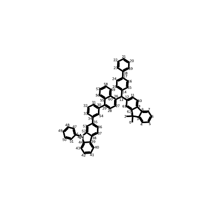 CC1(C)c2ccccc2-c2ccc(C(c3ccc(-c4ccccc4)cc3)c3ccc(-c4cccc(-c5ccc6c7ccccc7n(-c7ccccc7)c6c5)c4)c4ccccc34)cc21